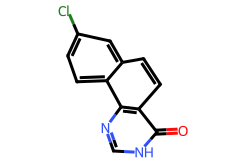 O=c1[nH]cnc2c1ccc1cc(Cl)ccc12